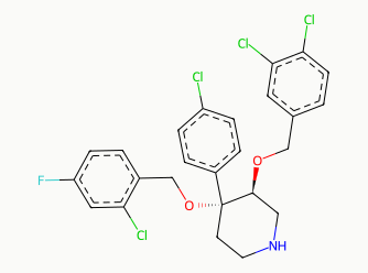 Fc1ccc(CO[C@@]2(c3ccc(Cl)cc3)CCNC[C@@H]2OCc2ccc(Cl)c(Cl)c2)c(Cl)c1